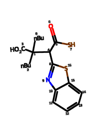 CCCCC(CCCC)(C(=O)O)C(C(=O)S)c1nc2ccccc2s1